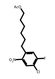 CC(=O)OCCCCC[CH]c1cc(F)c(Cl)cc1[N+](=O)[O-]